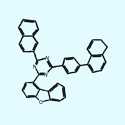 C1=Cc2c(cccc2-c2ccc(-c3nc(-c4ccc5ccccc5c4)nc(-c4cccc5oc6ccccc6c45)n3)cc2)CC1